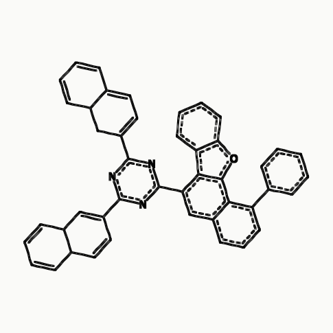 C1=CC2=CC=C(c3nc(C4=CC5C=CC=CC5C=C4)nc(-c4cc5cccc(-c6ccccc6)c5c5oc6ccccc6c45)n3)CC2C=C1